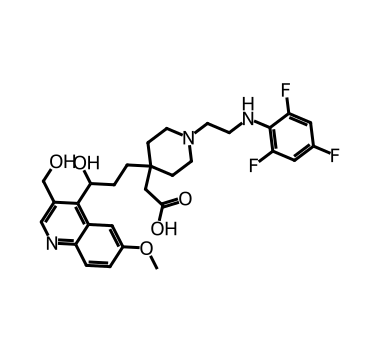 COc1ccc2ncc(CO)c(C(O)CCC3(CC(=O)O)CCN(CCNc4c(F)cc(F)cc4F)CC3)c2c1